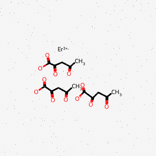 CC(=O)CC(=O)C(=O)[O-].CC(=O)CC(=O)C(=O)[O-].CC(=O)CC(=O)C(=O)[O-].[Er+3]